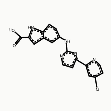 O=C(O)c1cc2cc(Nc3nccc(-c4cc(Cl)ccn4)n3)ccc2[nH]1